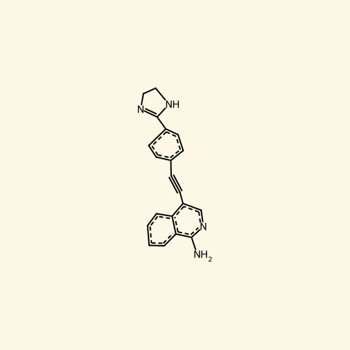 Nc1ncc(C#Cc2ccc(C3=NCCN3)cc2)c2ccccc12